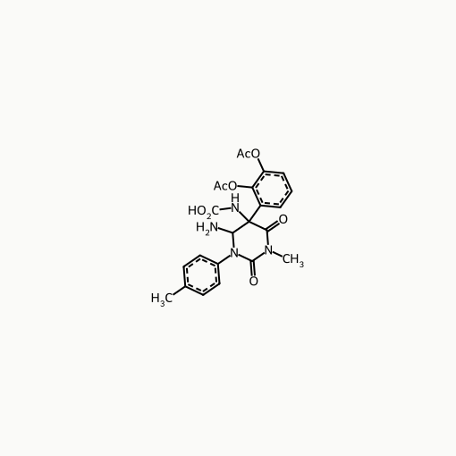 CC(=O)Oc1cccc(C2(NC(=O)O)C(=O)N(C)C(=O)N(c3ccc(C)cc3)C2N)c1OC(C)=O